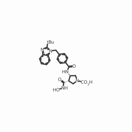 CC(C)(C)c1nc2ccccc2n1Cc1ccc(C(=O)N[C@@H]2CN(C(=O)O)C[C@@H]2C(=O)NO)cc1